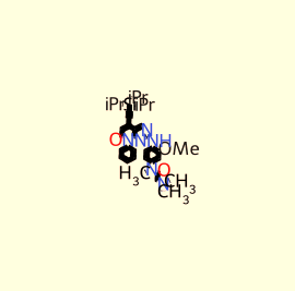 COc1cc(N(C)C(=O)CN(C)C)ccc1Nc1ncc2c(C#C[Si](C(C)C)(C(C)C)C(C)C)cc(=O)n(-c3ccccc3)c2n1